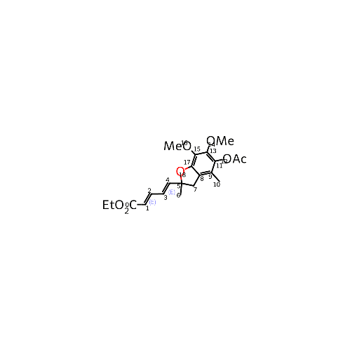 CCOC(=O)/C=C/C=C/C1(C)Cc2c(C)c(OC(C)=O)c(OC)c(OC)c2O1